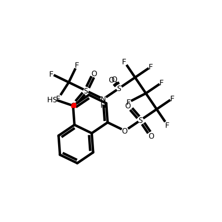 O=S(=O)(NS(=O)(=O)C(F)(F)C(F)(F)C(F)(F)S(=O)(=O)Oc1ccc(S)c2ccccc12)C(F)(F)F